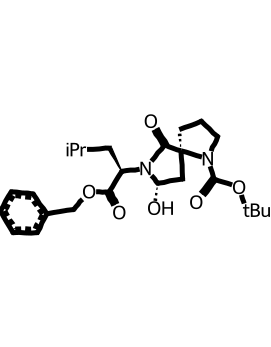 CC(C)C[C@H](C(=O)OCc1ccccc1)N1C(=O)[C@]2(CCCN2C(=O)OC(C)(C)C)C[C@@H]1O